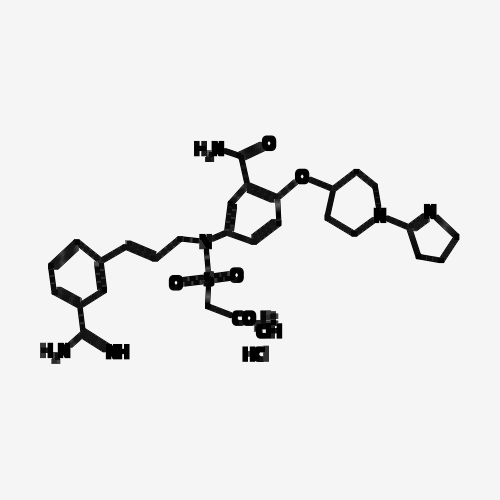 CCOC(=O)CS(=O)(=O)N(C/C=C/c1cccc(C(=N)N)c1)c1ccc(OC2CCN(C3=NCCC3)CC2)c(C(N)=O)c1.Cl.Cl